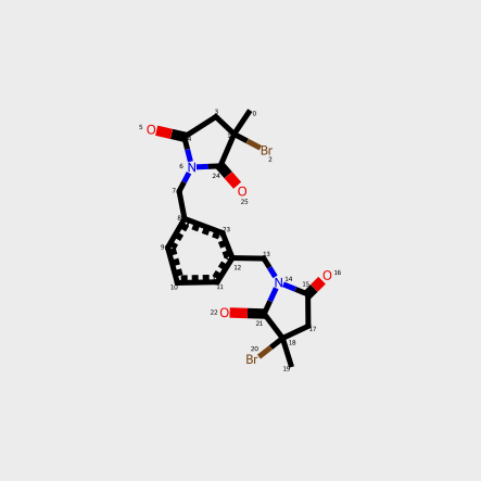 CC1(Br)CC(=O)N(Cc2cccc(CN3C(=O)CC(C)(Br)C3=O)c2)C1=O